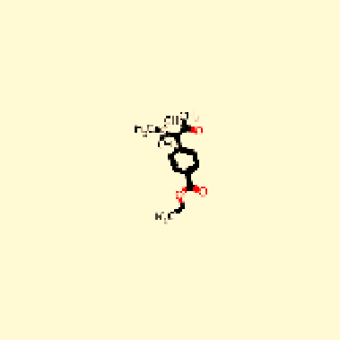 CCOC(=O)c1ccc(C(C(C)=O)[Si](C)(C)C)cc1